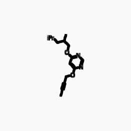 CC#CCOc1cc(OCC(C)CC(C)C)ncn1